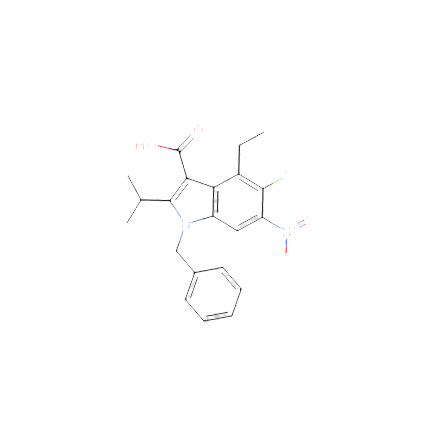 CCc1c(F)c([N+](=O)[O-])cc2c1c(C(=O)O)c(C(C)C)n2Cc1ccccc1